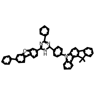 CC1(C)c2ccccc2-c2ccc3c(c21)c1ccccc1n3-c1ccc(C2N=C(c3ccccc3)N=C(c3ccc4c(c3)oc3cc(-c5ccccc5)ccc34)N2)cc1